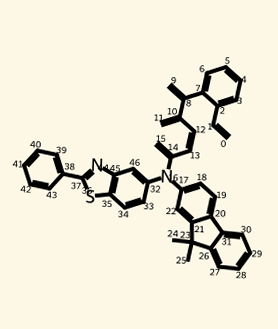 C=Cc1ccccc1C(=C)C(=C)/C=C\C(=C)N(c1ccc2c(c1)C(C)(C)c1ccccc1-2)c1ccc2sc(-c3ccccc3)nc2c1